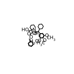 COc1cc(C(C(=O)N2CCCCC2(C(=O)O)C(C)COCc2ccccc2)C2CCCCC2)cc(OC)c1OC